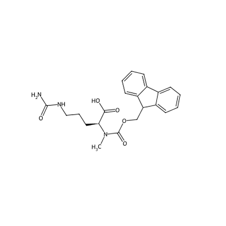 CN(C(=O)OCC1c2ccccc2-c2ccccc21)[C@@H](CCCNC(N)=O)C(=O)O